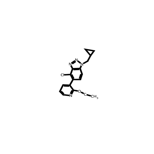 CCOc1ncccc1-c1ccc2c(nnn2CC2CC2)c1Cl